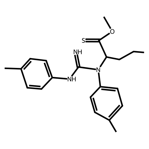 CCCC(C(=S)OC)N(C(=N)Nc1ccc(C)cc1)c1ccc(C)cc1